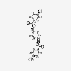 O=C(ON=C1C=CC(=NOC(=O)c2ccc(Cl)cc2)C=C1)c1ccc(Cl)cc1